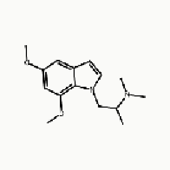 COc1cc(OC)c2c(ccn2CC(C)N(C)C)c1